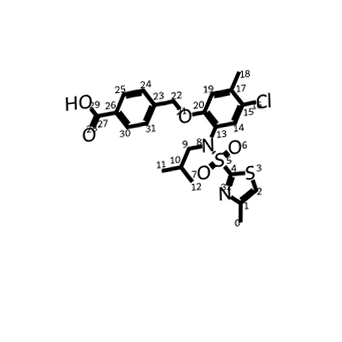 Cc1csc(S(=O)(=O)N(CC(C)C)c2cc(Cl)c(C)cc2OCc2ccc(C(=O)O)cc2)n1